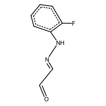 O=CC=NNc1ccccc1F